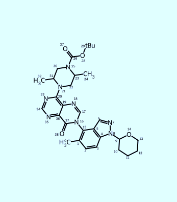 Cc1ccc2c(cnn2C2CCCCO2)c1-n1cnc2c(N3CC(C)N(C(=O)OC(C)(C)C)CC3C)ncnc2c1=O